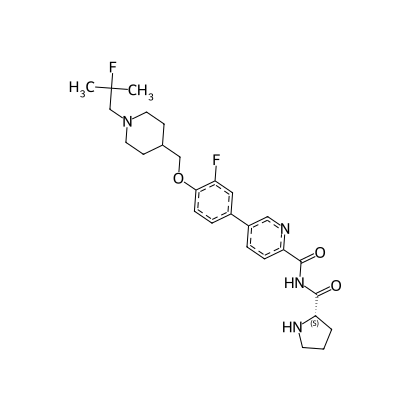 CC(C)(F)CN1CCC(COc2ccc(-c3ccc(C(=O)NC(=O)[C@@H]4CCCN4)nc3)cc2F)CC1